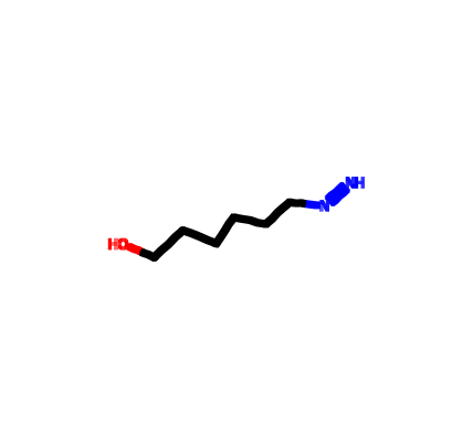 N=NCCCCCCO